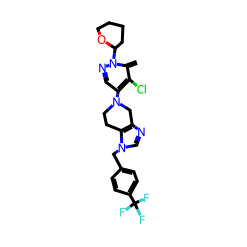 C=C1C(Cl)=C(N2CCc3c(ncn3Cc3ccc(C(F)(F)F)cc3)C2)C=NN1C1CCCCO1